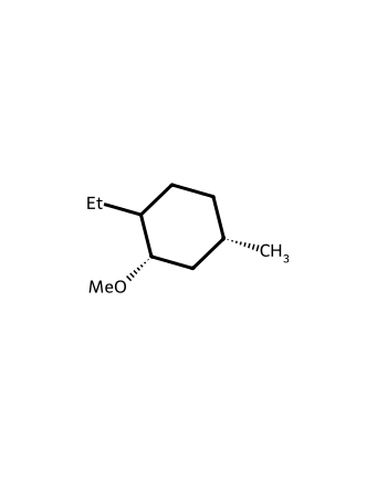 CCC1CC[C@H](C)C[C@@H]1OC